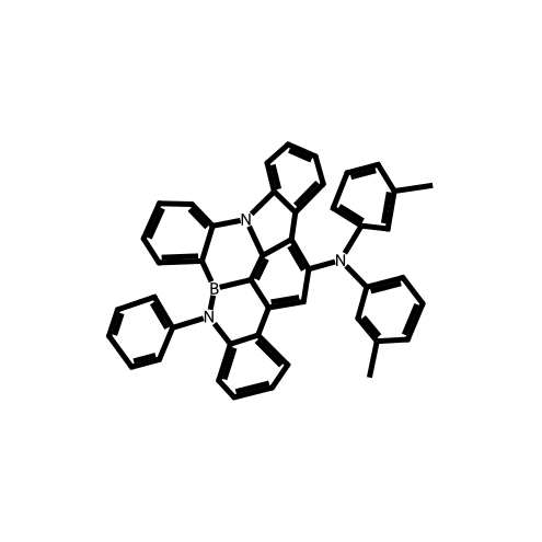 Cc1cccc(N(c2cccc(C)c2)c2cc3c4c5c2c2ccccc2n5-c2ccccc2B4N(c2ccccc2)c2ccccc2-3)c1